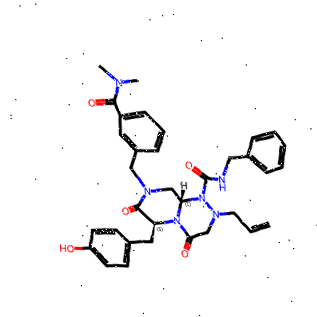 C=CCN1CC(=O)N2[C@@H](Cc3ccc(O)cc3)C(=O)N(Cc3cccc(C(=O)N(C)C)c3)C[C@@H]2N1C(=O)NCc1ccccc1